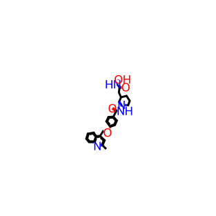 Cc1cc(COc2ccc(C(=O)NN3CCCC(CC(=O)NO)C3)cc2)c2ccccc2n1